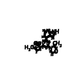 CC1=CCC(c2cc(N3CCOC[C@H]3C)nc(-c3ccnc4[nH]ccc34)n2)S1(=O)=O